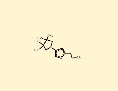 CC(=O)OCCn1cc(B2CC(C)(C)C(C)(C)C2)cn1